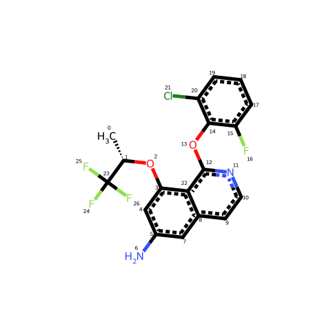 C[C@H](Oc1cc(N)cc2ccnc(Oc3c(F)cccc3Cl)c12)C(F)(F)F